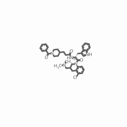 CN(C)CC1Cc2c(Cl)cccc2N(C(=O)[C@@H](Cc2c[nH]c3ccccc23)NC(=O)CCC2CCN(C(=O)c3ccccc3)CC2)C1